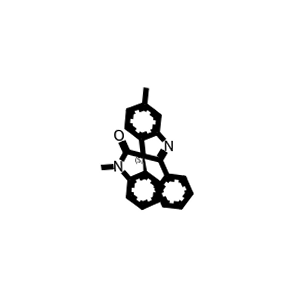 Cc1ccc2c(c1)N=C(c1ccccc1)[C@]21C(=O)N(C)c2ccccc21